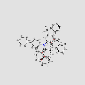 CC1(C)c2ccccc2-c2ccc(N(c3cc4ccccc4cc3-c3cccc4ccccc34)c3ccc(C4CCCCC4)cc3C3CCCCC3)cc21